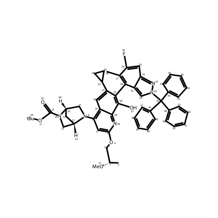 CO[C@@H](C)COc1cc(N2C[C@@H]3C[C@H]2CN3C(=O)OC(C)(C)C)c2cc(C3CC3)c(-c3c(C)c(F)cc4nn(C(c5ccccc5)(c5ccccc5)c5ccccc5)cc34)c(O)c2n1